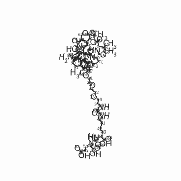 CC[C@@]1(OC(=O)[C@@H](NC(=O)[C@@H]2CCCN2C(=O)[C@H](CC(=O)O)NC(=O)CCOCCOCCOCCNC(=O)NCCCC[C@H](NC(=O)N[C@@H](CCC(=O)O)C(=O)O)C(=O)O)C(C)C)C(=O)OCc2c1cc1n(c2=O)Cc2c-1nc1cc(F)c(C)c3c1c2[C@@H](N)CC3